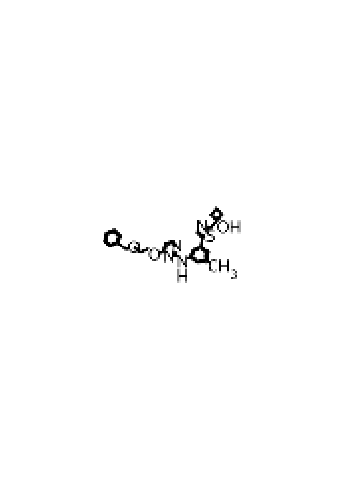 Cc1cc(Nc2nccc(OCCOCc3ccccc3)n2)cc(-c2cnc(C3(O)CCC3)s2)c1